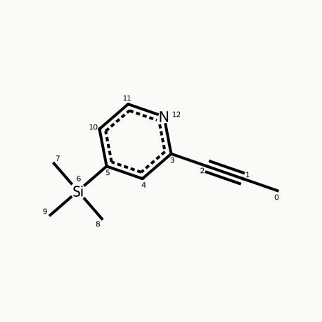 CC#Cc1cc([Si](C)(C)C)ccn1